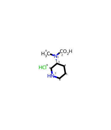 CN(C(=O)O)[C@@H]1CCCNC1.Cl